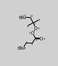 CC(C)(C)CCC(=O)OOC(C)(C)CC(C)(C)C